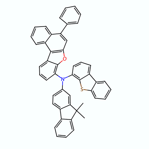 CC1(C)c2ccccc2-c2ccc(N(c3cccc4c3oc3cc(-c5ccccc5)c5ccccc5c34)c3cccc4c3sc3ccccc34)cc21